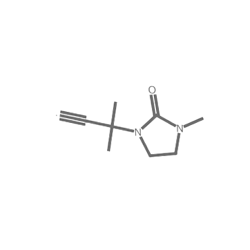 [C]#CC(C)(C)N1CCN(C)C1=O